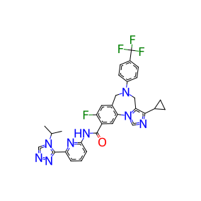 CC(C)n1cnnc1-c1cccc(NC(=O)c2cc3c(cc2F)CN(c2ccc(C(F)(F)F)cc2)Cc2c(C4CC4)ncn2-3)n1